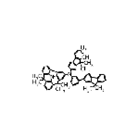 C/C=C\C1=C(C)C(C)(C)c2cc(N(c3cccc(-c4ccc5c(c4)C(C)(C)c4ccccc4-5)c3)c3cc4c5c(c3)c3cccc6c3n5-c3c(cccc3C4(C)C)C6(C)C)ccc21